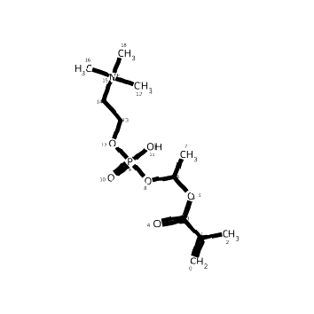 C=C(C)C(=O)OC(C)OP(=O)(O)OCC[N+](C)(C)C